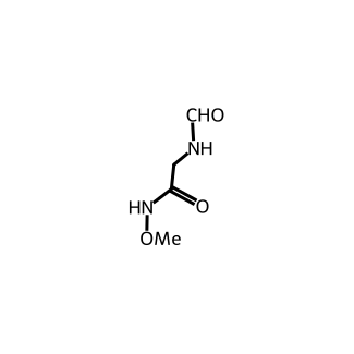 CONC(=O)CNC=O